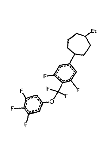 CCC1CCCC(c2cc(F)c(C(F)(F)Oc3cc(F)c(F)c(F)c3)c(F)c2)CC1